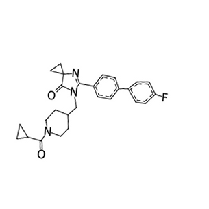 O=C(C1CC1)N1CCC(CN2C(=O)C3(CC3)N=C2c2ccc(-c3ccc(F)cc3)cc2)CC1